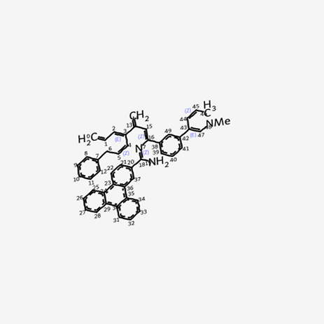 C=C/C=C(\C=C/Cc1ccccc1)C(=C)/C=C(\N=C(/N)c1ccc2c3ccccc3c3ccccc3c2c1)c1cccc(C(/C=C\C)=C/NC)c1